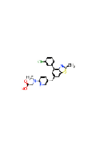 Cc1nc2c(-c3cccc(Cl)c3)cc(Cc3ccc(N(C)CC(=O)O)nc3)cc2s1